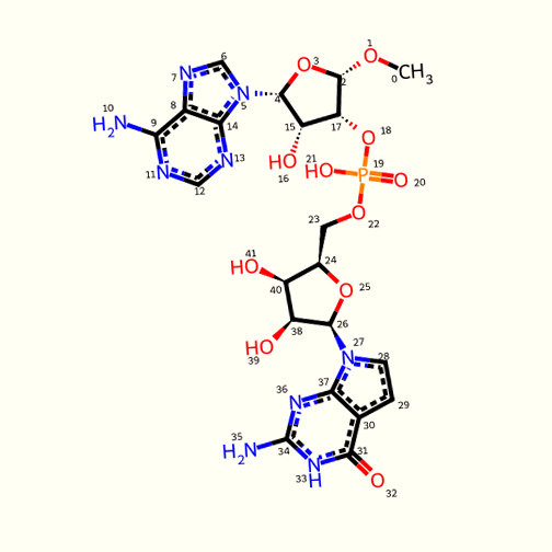 CO[C@H]1O[C@@H](n2cnc3c(N)ncnc32)[C@@H](O)[C@H]1OP(=O)(O)OC[C@H]1O[C@@H](n2ccc3c(=O)[nH]c(N)nc32)[C@@H](O)[C@H]1O